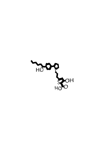 CCCCCC(O)c1ccc(C2=CCC[C@@H]2CCCc2cc(O)c(C(=O)O)s2)cc1